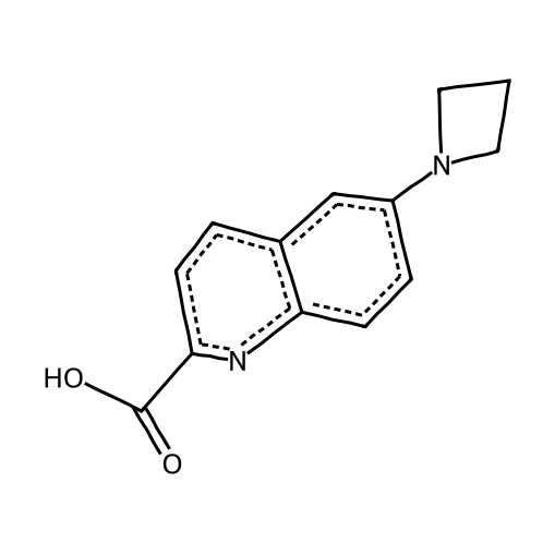 O=C(O)c1ccc2cc(N3CCC3)ccc2n1